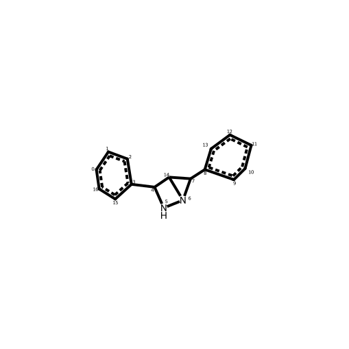 c1ccc(C2NN3C(c4ccccc4)C23)cc1